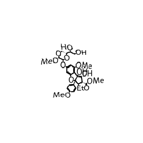 CC[C@@H]1[C@@H](C(=O)OC)[C@@H](O)[C@@]2(O)c3c(OC)cc(O[C@@H]4O[C@@H]([C@H](O)CO)CO[C@H]4OC)cc3O[C@@]12c1ccc(OC)cc1